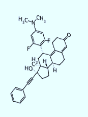 CN(C)c1cc(F)c([C@H]2C[C@@]3(C)[C@@H](CC[C@@]3(O)C#Cc3ccccc3)[C@@H]3CCC4=CC(=O)CCC4=C32)c(F)c1